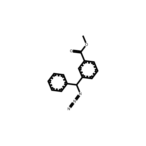 COC(=O)c1cccc(C(N=[N+]=[N-])c2ccccc2)c1